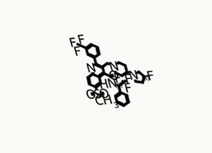 CS(=O)(=O)c1ccc2nc(-c3cccc(C(F)(F)F)c3)c(CN3CCC(N4CC[C@H](F)C4)CC3)c(C(=O)N[C@H](c3ccccc3)C(F)(F)F)c2c1